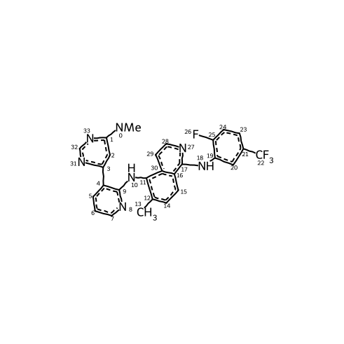 CNc1cc(-c2cccnc2Nc2c(C)ccc3c(Nc4cc(C(F)(F)F)ccc4F)nccc23)ncn1